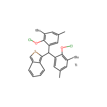 Cc1cc(C(c2cc(C)cc(C(C)(C)C)c2OCl)c2scc3ccccc23)c(OCl)c(C(C)(C)C)c1.[Ti]